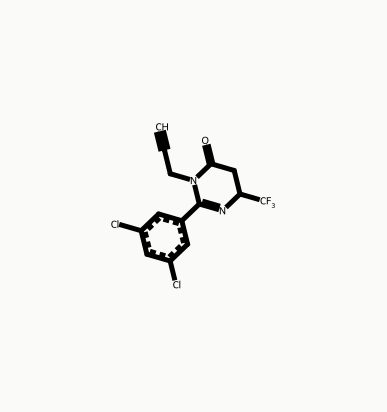 C#CCN1C(=O)CC(C(F)(F)F)N=C1c1cc(Cl)cc(Cl)c1